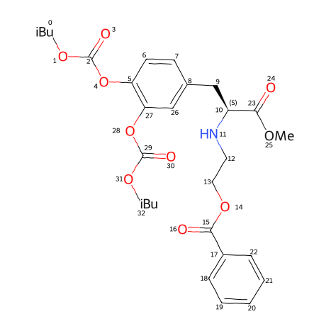 CCC(C)OC(=O)Oc1ccc(C[C@H](NCCOC(=O)c2ccccc2)C(=O)OC)cc1OC(=O)OC(C)CC